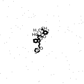 CC(C)c1ccccc1SC1=C(O)CC(CCCCC(=O)N2CCSCC2)(c2ccccc2)OC1=O